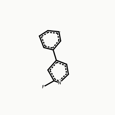 Fc1cc(-c2c[c]ccc2)ccn1